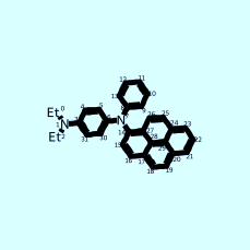 CCN(CC)c1ccc(N(c2ccccc2)c2ccc3ccc4cccc5ccc2c3c45)cc1